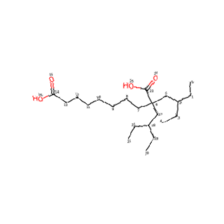 CCC(CC)CC(CCCCCCCC(=O)O)(CC(CC)CC)C(=O)O